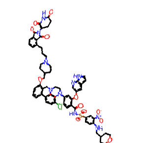 O=C1CCC(N2C(=O)c3cccc(CCCN4CCC(COc5cccc(-c6ccc(Cl)cc6)c5CN5CCN(c6ccc(C(=O)NS(=O)(=O)c7ccc(NCC8CCOCC8)c([N+](=O)[O-])c7)c(Oc7cnc8[nH]ccc8c7)c6)CC5)CC4)c3C2=O)C(=O)N1